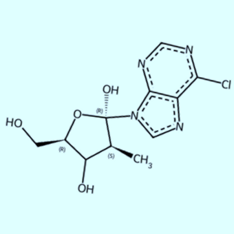 C[C@H]1C(O)[C@@H](CO)O[C@@]1(O)n1cnc2c(Cl)ncnc21